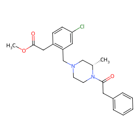 COC(=O)Cc1ccc(Cl)cc1CN1CCN(C(=O)Cc2ccccc2)[C@@H](C)C1